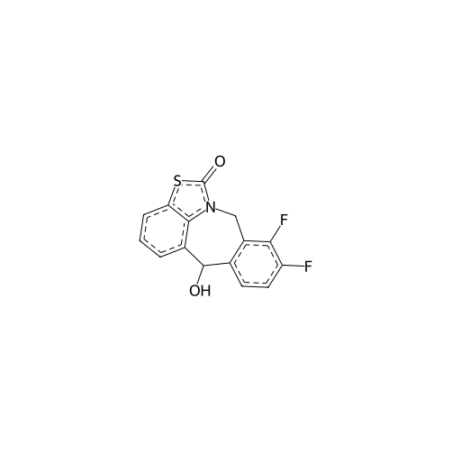 O=c1sc2cccc3c2n1Cc1c(ccc(F)c1F)C3O